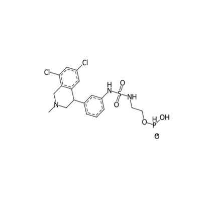 CN1Cc2c(Cl)cc(Cl)cc2C(c2cccc(NS(=O)(=O)NCCO[PH](=O)O)c2)C1